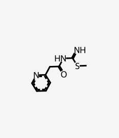 CSC(=N)NC(=O)Cc1ccccn1